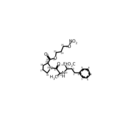 CCOC(=O)C(CCc1ccccc1)NC(C)C(=O)N1CCCC1C(=O)OCCCO[N+](=O)[O-]